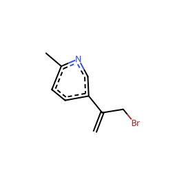 C=C(CBr)c1ccc(C)nc1